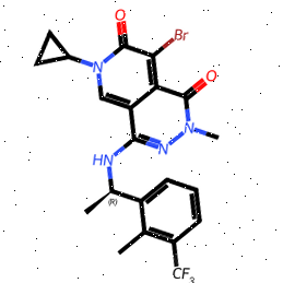 Cc1c([C@@H](C)Nc2nn(C)c(=O)c3c(Br)c(=O)n(C4CC4)cc23)cccc1C(F)(F)F